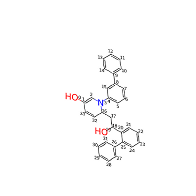 OC1=CN(c2cccc(-c3ccccc3)c2)C(CC(O)c2ccccc2-c2ccccc2)C=C1